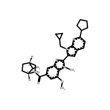 COc1cc(C(=O)N2C[C@H]3CC[C@@H]2[C@@H]3N)cc2nc(-c3cc4ccc(C5CCCC5)nc4n3CC3CC3)n(C)c12